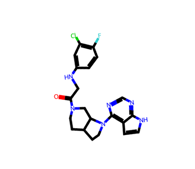 O=C(CNc1ccc(F)c(Cl)c1)N1CCC2CCN(c3ncnc4[nH]ccc34)C2C1